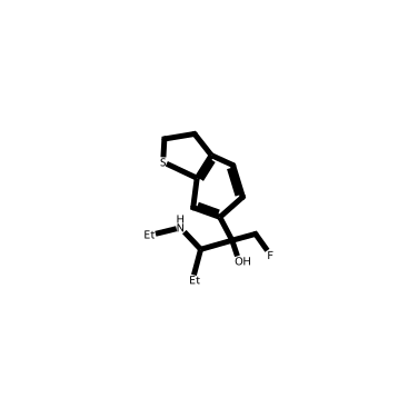 CCNC(CC)C(O)(CF)c1ccc2c(c1)SCC2